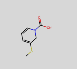 CSC1=CC=CN(C(=O)O)C1